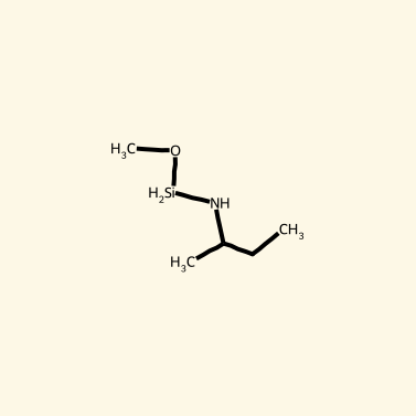 CCC(C)N[SiH2]OC